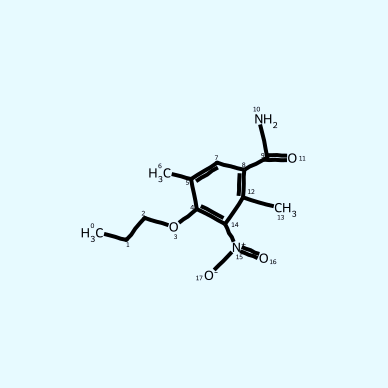 CCCOc1c(C)cc(C(N)=O)c(C)c1[N+](=O)[O-]